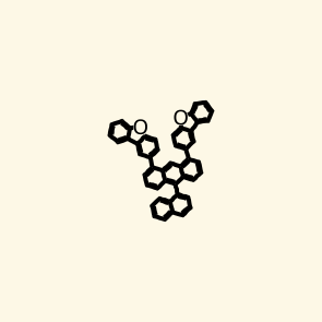 c1ccc2c(-c3c4cccc(-c5ccc6oc7ccccc7c6c5)c4cc4c(-c5ccc6oc7ccccc7c6c5)cccc34)cccc2c1